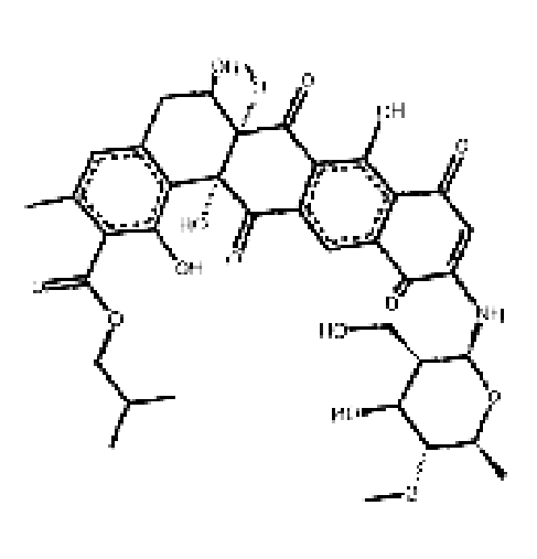 CO[C@@H]1[C@@H](O)[C@@H](CO)[C@@H](NC2=CC(=O)c3c(cc4c(c3O)C(=O)[C@]3(OC)[C@H](O)Cc5cc(C)c(C(=O)OCC(C)C)c(O)c5[C@]3(O)C4=O)C2=O)O[C@H]1C